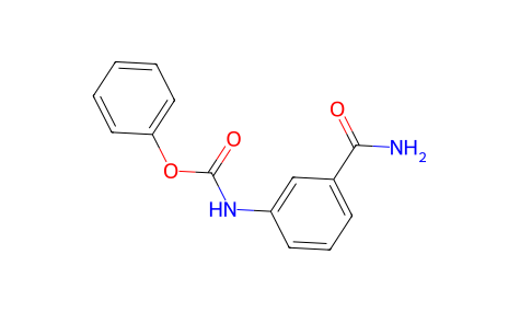 NC(=O)c1cccc(NC(=O)Oc2ccccc2)c1